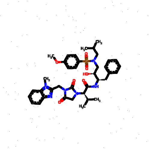 COc1ccc(S(=O)(=O)N(CC(C)C)C[C@@H](O)[C@H](Cc2ccccc2)NC(=O)[C@H](C(C)C)N2CC(=O)N(Cc3nc4ccccc4n3C)C2=O)cc1